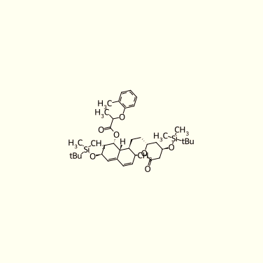 Cc1ccccc1OC(C)C(=O)O[C@H]1C[C@H](O[Si](C)(C)C(C)(C)C)C=C2C=C[C@H](C)[C@H](CC[C@@H]3C[C@@H](O[Si](C)(C)C(C)(C)C)CC(=O)O3)[C@H]21